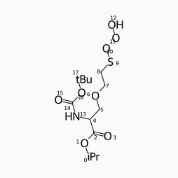 CC(C)OC(=O)C(COCCSOOO)NC(=O)OC(C)(C)C